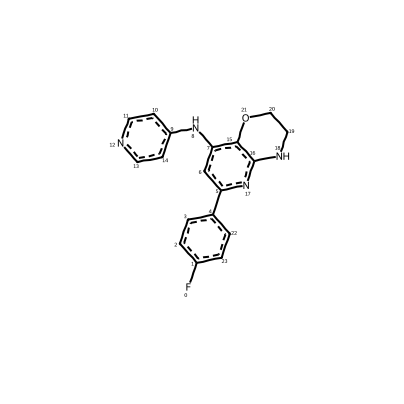 Fc1ccc(-c2cc(Nc3ccncc3)c3c(n2)NCCO3)cc1